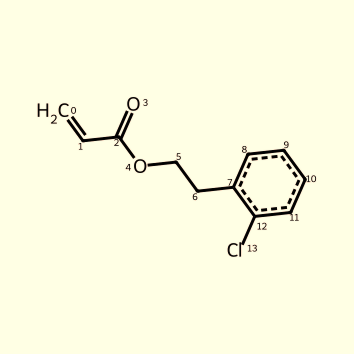 C=CC(=O)OCCc1ccccc1Cl